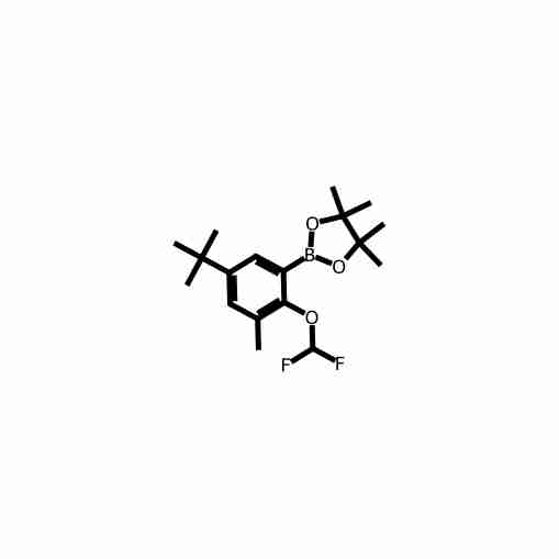 Cc1cc(C(C)(C)C)cc(B2OC(C)(C)C(C)(C)O2)c1OC(F)F